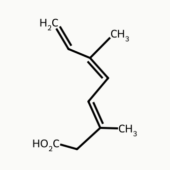 C=C/C(C)=C\C=C(/C)CC(=O)O